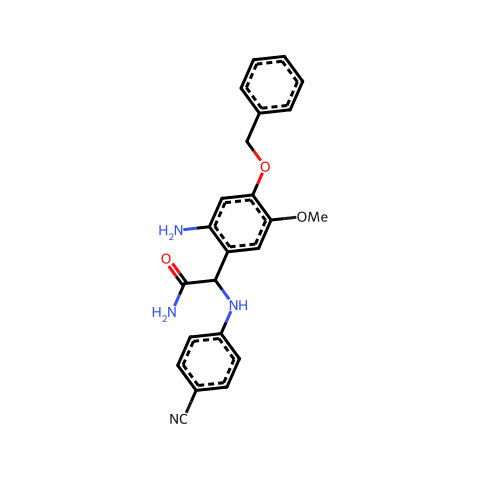 COc1cc(C(Nc2ccc(C#N)cc2)C(N)=O)c(N)cc1OCc1ccccc1